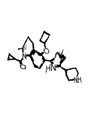 C[C@H]1CCc2c(ccc(-c3ncc(C4CCNCC4)[nH]3)c2OC2CCC2)N1C(=O)C1CC1